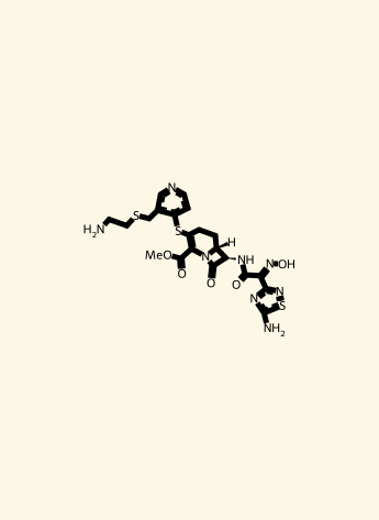 COC(=O)C1=C(Sc2ccncc2CSCCN)CC[C@@H]2[C@H](NC(=O)C(=NO)c3nsc(N)n3)C(=O)N12